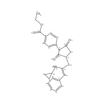 CCOC(=O)c1ccc(N2C(=O)CC(S/C(=N/c3ccccc3)NC3CC3)C2=O)cc1